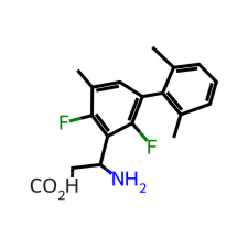 Cc1cc(-c2c(C)cccc2C)c(F)c(C(N)CC(=O)O)c1F